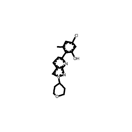 Cc1cc(Cl)cc(O)c1-c1ccc2cn(C3CCOCC3)nc2n1